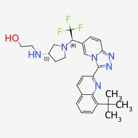 CC(C)(C)c1cccc2ccc(-c3nnc4ccc([C@@H](N5CC[C@H](NCCO)C5)C(F)(F)F)cn34)nc12